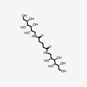 O=C(CCCC(=O)NC[C@H](O)[C@@H](O)[C@H](O)[C@H](O)CO)NC[C@H](O)[C@@H](O)[C@H](O)[C@H](O)CO